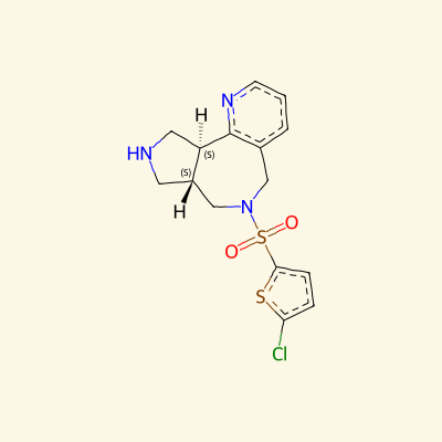 O=S(=O)(c1ccc(Cl)s1)N1Cc2cccnc2[C@@H]2CNC[C@H]2C1